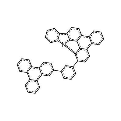 c1cc(-c2ccc3c4ccccc4c4ccccc4c3c2)cc(-c2ccc3c4ccccc4c4ccc5c6ccccc6n6c2c3c4c56)c1